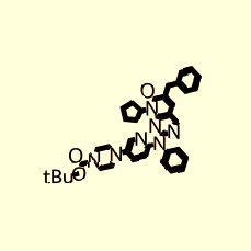 CC(C)(C)OC(=O)N1CCN(c2ccc(N(c3ccccc3)c3ncc4cc(Cc5ccccc5)c(=O)n(C5CCCC5)c4n3)nc2)CC1